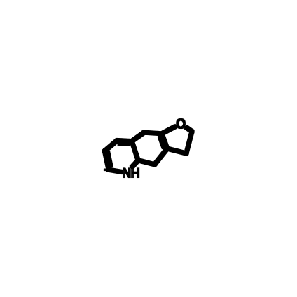 [C]1=CC=C2CC3=C(CCO3)CC2N1